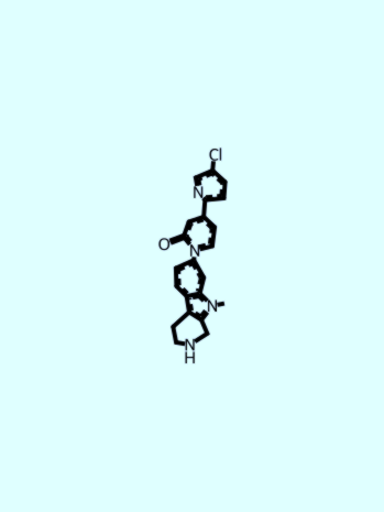 Cn1c2c(c3ccc(-n4ccc(-c5ccc(Cl)cn5)cc4=O)cc31)CCNC2